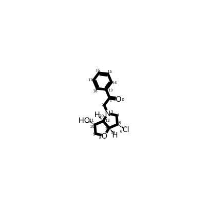 O=C(CN1C[C@H](Cl)[C@H]2OC[C@H](O)[C@H]21)c1ccccc1